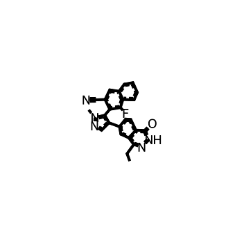 CCc1n[nH]c(=O)c2ccc(-c3cnn(C)c3-c3c(C#N)cc4ccccc4c3F)cc12